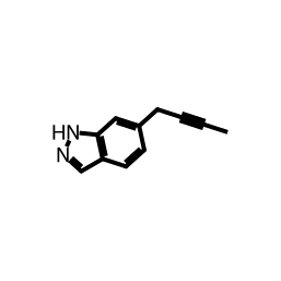 CC#CCc1ccc2cn[nH]c2c1